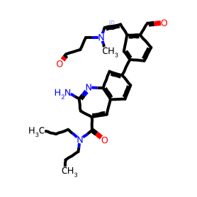 CCCN(CCC)C(=O)C1=Cc2ccc(-c3ccc(C=O)c(/C=C\N(C)CCC=O)c3)cc2N=C(N)C1